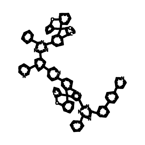 c1ccc(-c2nc(-c3cc(-c4cccnc4)cc(-c4ccc(-c5ccc6c(c5)C5(c7ccccc7Oc7ccccc75)c5cc(-c7nc(-c8ccccc8)nc(-c8cccc(-c9ccc(-c%10ccncc%10)cc9)c8)n7)ccc5-6)nc4)c3)nc(-c3ccc4c(c3)C3(c5ccccc5Oc5ccccc53)c3ccccc3-4)n2)cc1